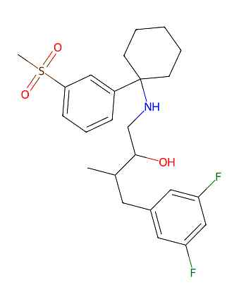 CC(Cc1cc(F)cc(F)c1)C(O)CNC1(c2cccc(S(C)(=O)=O)c2)CCCCC1